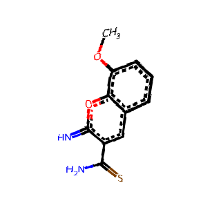 COc1cccc2cc(C(N)=S)c(=N)oc12